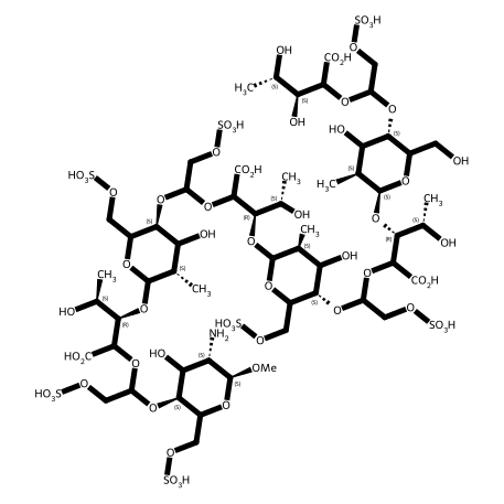 CO[C@H]1OC(COS(=O)(=O)O)[C@@H](OC(COS(=O)(=O)O)OC(C(=O)O)[C@H](OC2OC(COS(=O)(=O)O)[C@@H](OC(COS(=O)(=O)O)OC(C(=O)O)[C@H](OC3OC(COS(=O)(=O)O)[C@@H](OC(COS(=O)(=O)O)OC(C(=O)O)[C@H](O[C@@H]4OC(CO)[C@@H](OC(COS(=O)(=O)O)OC(C(=O)O)[C@@H](O)[C@H](C)O)C(O)[C@@H]4C)[C@H](C)O)C(O)[C@@H]3C)[C@H](C)O)C(O)[C@@H]2C)[C@H](C)O)C(O)[C@@H]1N